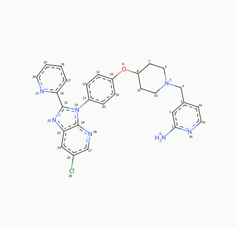 Nc1cc(CN2CCC(Oc3ccc(-n4c(-c5ccccn5)nc5cc(Cl)cnc54)cc3)CC2)ccn1